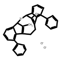 CC1=C2CCC3=C(C)[CH]([Ti+2][CH]1c1cccc(-c4ccccc4)c12)c1cccc(-c2ccccc2)c13.[Cl-].[Cl-]